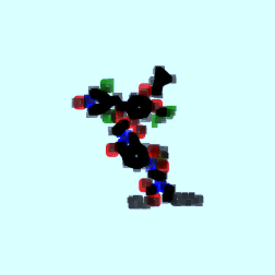 COCCN(CCN(c1ccc2c(c1)C(=O)N(CC(=O)O[C@@H](Cc1c(Cl)c[n+]([O-])cc1Cl)c1ccc(OC(F)F)c(OCC3CC3)c1)C2=O)S(C)(=O)=O)C(=O)OC(C)(C)C